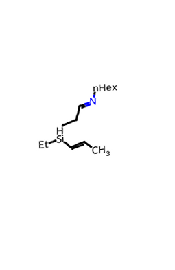 CC=C[SiH](CC)CCC=NCCCCCC